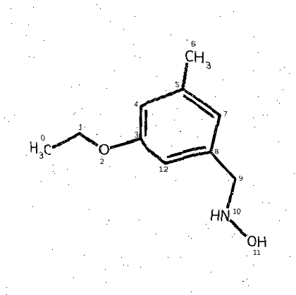 CCOc1cc(C)cc(CNO)c1